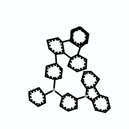 c1ccc(-c2ccccc2-c2c(-c3ccccc3)cccc2-c2ccc(N(c3ccccc3)c3cccc(-n4c5ccccc5c5ccccc54)c3)cc2)cc1